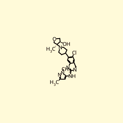 Cc1cc(Nc2ncc3cc(Cl)c(C4CCN([C@@]5(C)COC[C@H]5O)CC4)cc3n2)n(C)n1